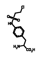 NC(Cc1ccc(NS(=O)(=O)CCCl)cc1)C(=O)O